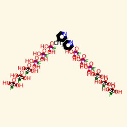 Cc1ccncc1.O=P(O)(O)F.O=P(O)(O)F.O=P(O)(O)F.O=P(O)(O)F.O=P(O)(O)F.O=P(O)(O)F.[O]=[Sb]([OH])([OH])[F].[O]=[Sb]([OH])([OH])[F].[O]=[Sb]([OH])([OH])[F].[O]=[Sb]([OH])([OH])[F].[O]=[Sb]([OH])([OH])[F].[O]=[Sb]([OH])([OH])[F].c1ccncc1